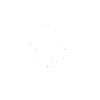 CC(C)(C)OC(=O)N1CCC(F)(C(=O)NN)CC1.Cn1cnnc1C1(F)CCN(C(=O)OC(C)(C)C)CC1